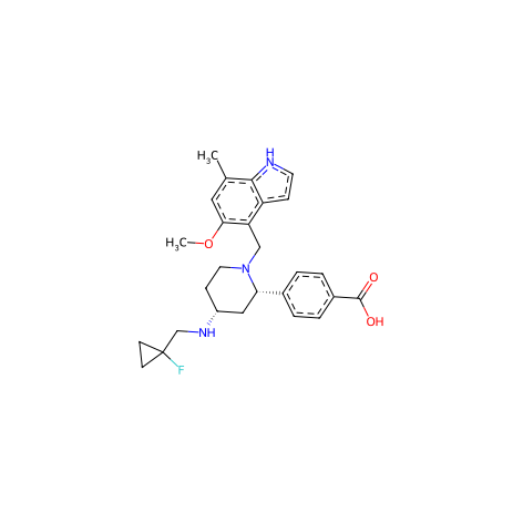 COc1cc(C)c2[nH]ccc2c1CN1CC[C@@H](NCC2(F)CC2)C[C@H]1c1ccc(C(=O)O)cc1